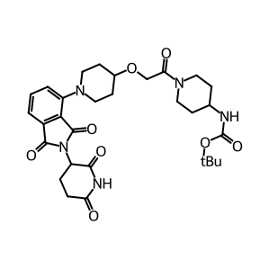 CC(C)(C)OC(=O)NC1CCN(C(=O)COC2CCN(c3cccc4c3C(=O)N(C3CCC(=O)NC3=O)C4=O)CC2)CC1